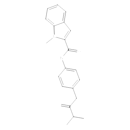 CC(C)C(=O)Cc1ccc(NC(=O)c2cc3ccccc3n2C)cc1